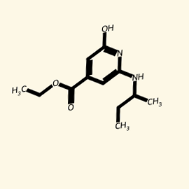 CCOC(=O)c1cc(O)nc(NC(C)CC)c1